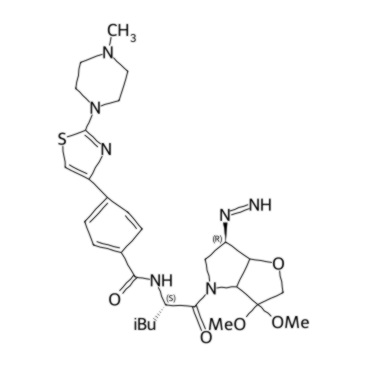 CCC(C)[C@H](NC(=O)c1ccc(-c2csc(N3CCN(C)CC3)n2)cc1)C(=O)N1C[C@@H](N=N)C2OCC(OC)(OC)C21